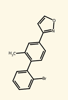 Cc1cc(-c2ccon2)ccc1-c1ccccc1Br